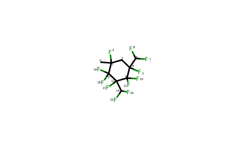 CC1(F)CC(F)(C(F)F)C(F)(F)C(F)(C(F)F)C1(F)F